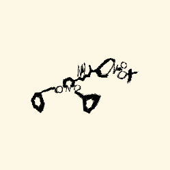 C/C(=C\c1cc(-c2ccc(OCc3ccccc3)nc2OCc2ccccc2)nn1C)C1=CCN(C(=O)OC(C)(C)C)CC1